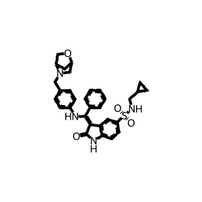 O=C1Nc2ccc(S(=O)(=O)NCC3CC3)cc2/C1=C(/Nc1ccc(CN2CC3CC2CO3)cc1)c1ccccc1